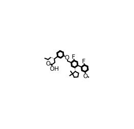 CCC[C@@H](CC(=O)O)c1cccc(OCc2cc([C@@H]3CCCC3(C)C)c(-c3cc(OC)ccc3F)cc2F)c1